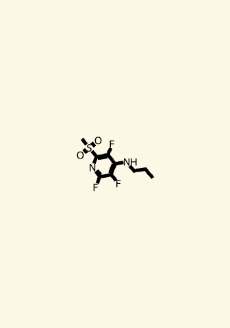 CCCNc1c(F)c(F)nc(S(C)(=O)=O)c1F